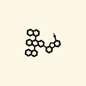 N#Cc1cccc2c1Cc1c(-c3ccc4c(-c5cccc6ccccc56)c5ccccc5c(-c5cccc6ccccc56)c4c3)cccc1-2